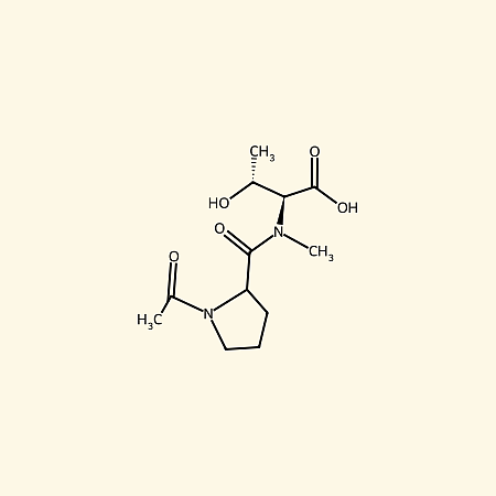 CC(=O)N1CCCC1C(=O)N(C)[C@H](C(=O)O)[C@@H](C)O